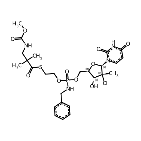 COC(=O)NCC(C)(C)C(=O)SCCOP(=O)(NCc1ccccc1)OC[C@H]1O[C@@H](n2ccc(=O)[nH]c2=O)[C@](C)(Cl)[C@@H]1O